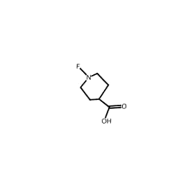 O=C(O)C1CCN(F)CC1